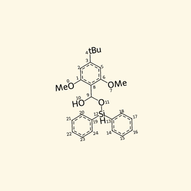 COc1cc(C(C)(C)C)cc(OC)c1C(O)O[SiH](c1ccccc1)c1ccccc1